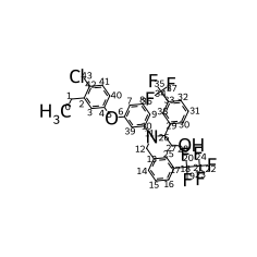 CCc1cc(Oc2cccc(N(Cc3cccc(C(F)(F)C(F)(F)F)c3)C(CO)c3cccc(C(F)(F)F)c3)c2)ccc1Cl